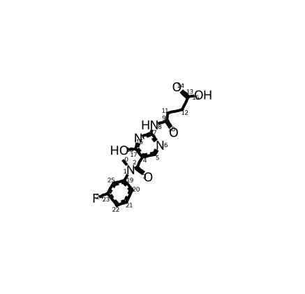 CN(C(=O)c1cnc(NC(=O)CCC(=O)O)nc1O)c1cccc(F)c1